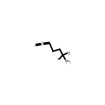 C=C=CCCC(C)(N)CC